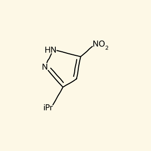 CC(C)c1cc([N+](=O)[O-])[nH]n1